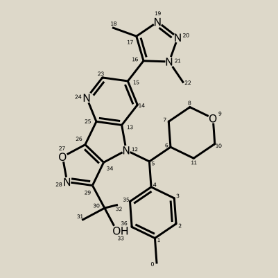 Cc1ccc(C(C2CCOCC2)n2c3cc(-c4c(C)nnn4C)cnc3c3onc(C(C)(C)O)c32)cc1